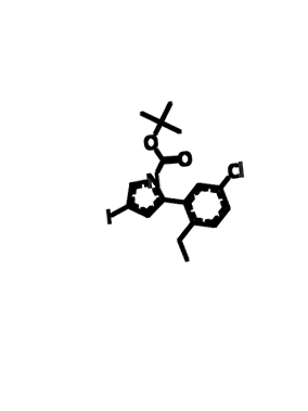 CCc1ccc(Cl)cc1-c1cc(I)cn1C(=O)OC(C)(C)C